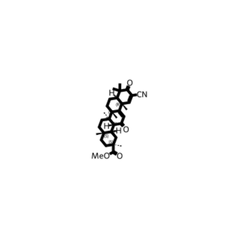 COC(=O)[C@@]1(C)CC[C@]2(C)CC[C@]3(C)[C@H](C(=O)C=C4[C@@]5(C)C=C(C#N)C(=O)C(C)(C)[C@@H]5CC[C@]43C)[C@@H]2C1